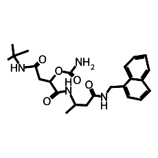 CC(CC(=O)NCc1cccc2ccccc12)NC(=O)C(CC(=O)NC(C)(C)C)OC(N)=O